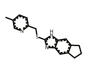 Cc1ccc(CSc2nc3cc4c(cc3[nH]2)CCC4)nc1